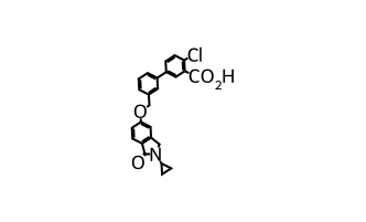 O=C(O)c1cc(-c2cccc(COc3ccc4c(c3)CN(C3CC3)C4=O)c2)ccc1Cl